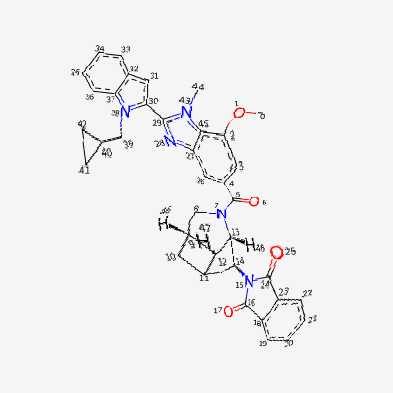 COc1cc(C(=O)N2C[C@H]3CC4[C@H]3[C@H]2[C@H]4N2C(=O)c3ccccc3C2=O)cc2nc(-c3cc4ccccc4n3CC3CC3)n(C)c12